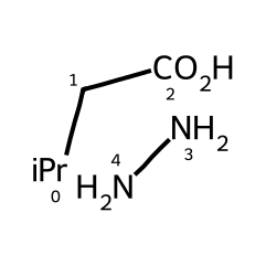 CC(C)CC(=O)O.NN